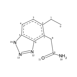 CCc1ccc2c(c1CC(N)=O)N=N[N]2